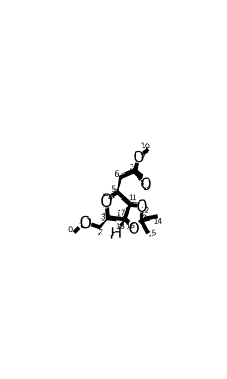 COC[C@H]1O[C@@H](CC(=O)OC)C2OC(C)(C)O[C@@H]21